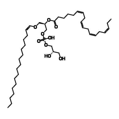 CC/C=C\C/C=C\C/C=C\C/C=C\CCCCC(=O)O[C@H](CO/C=C\CCCCCCCCCCCCCCCC)COP(=O)(O)OC[C@@H](O)CO